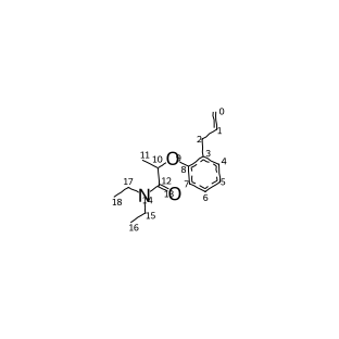 C=CCc1ccccc1OC(C)C(=O)N(CC)CC